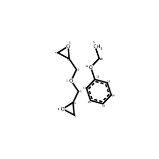 C(OCC1CO1)C1CO1.CCOc1ccccc1